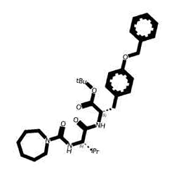 CC(C)[C@H](NC(=O)N1CCCCCC1)C(=O)N[C@@H](Cc1ccc(OCc2ccccc2)cc1)C(=O)OC(C)(C)C